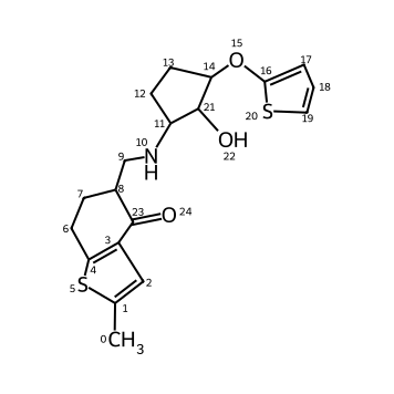 Cc1cc2c(s1)CCC(CNC1CCC(Oc3cccs3)C1O)C2=O